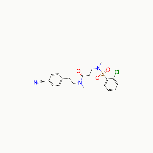 CN(CCc1ccc(C#N)cc1)C(=O)CCN(C)S(=O)(=O)c1ccccc1Cl